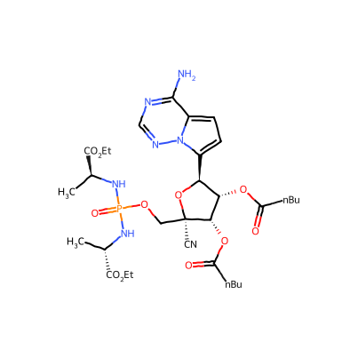 CCCCC(=O)O[C@H]1[C@H](c2ccc3c(N)ncnn23)O[C@](C#N)(COP(=O)(N[C@@H](C)C(=O)OCC)N[C@@H](C)C(=O)OCC)[C@H]1OC(=O)CCCC